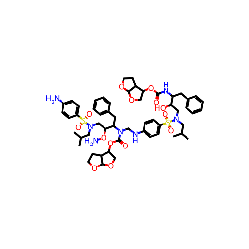 CC(C)CN(CC(O)C(Cc1ccccc1)NC(=O)OC1COC2OCCC12)S(=O)(=O)c1ccc(NCN(C(=O)OC2COC3OCCC23)C(Cc2ccccc2)C(CN(CC(C)C)S(=O)(=O)c2ccc(N)cc2)ON)cc1